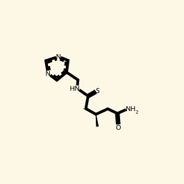 C[C@@H]([CH]C(=S)NCc1cncnc1)CC(N)=O